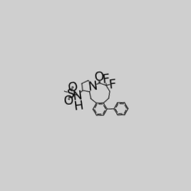 CS(=O)(=O)NC1CCN2C(=O)C(F)(F)CCc3c(cccc3-c3ccccc3)CC12